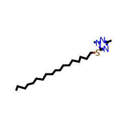 CCCCCCCCCCCCCCCCCCSc1nc(C)nn1C